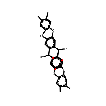 Cc1cc2c(cc1C)Oc1cc3c(cc1O2)C1(C(C)C)c2ccccc2C3(C(C)C)c2cc3c(cc21)Oc1cc(C)c(C)cc1O3